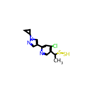 CC(SS)c1cnc(-c2cnn(C3CC3)c2)cc1Cl